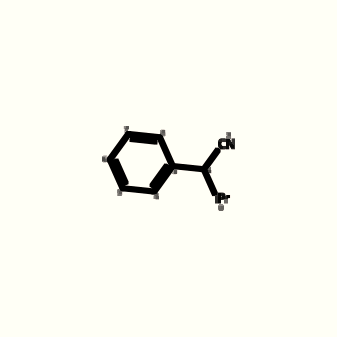 CC(C)C(C#N)c1ccccc1